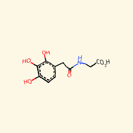 O=C(O)CNC(=O)Cc1ccc(O)c(O)c1O